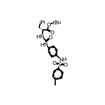 Cc1ccc(S(=O)(=O)Nc2ccc(NC(=O)N[C@H](CC(C)C)C(=O)OC(C)(C)C)cc2)cc1